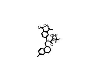 Cc1ccc2c(c1)CCCC2CN(C(=O)[C@@H](O)C(F)(F)F)c1ccc2c(=O)onc(C)c2c1